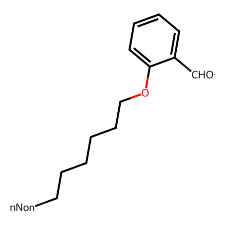 CCCCCCCCCCCCCCCOc1ccccc1[C]=O